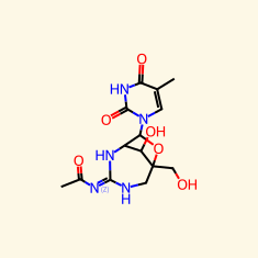 CC(=O)/N=C1/NCC2(CO)OC(n3cc(C)c(=O)[nH]c3=O)C(N1)C2O